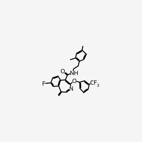 C=C1C=NC(Oc2cccc(C(F)(F)F)c2)=C(C(=O)NCCc2ccc(C)cc2C)c2ccc(F)cc21